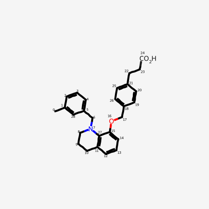 Cc1cccc(CN2CCCc3cccc(OCc4ccc(CCC(=O)O)cc4)c32)c1